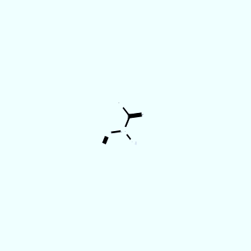 NC(=O)N(N)P=O